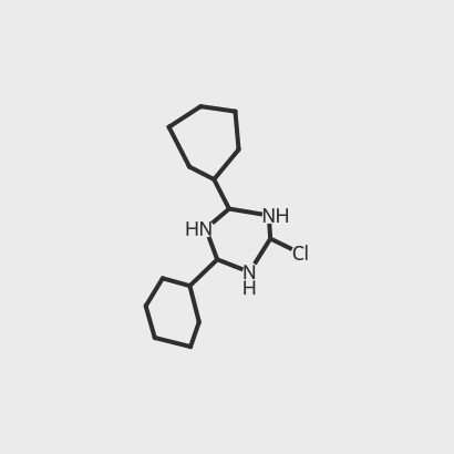 ClC1NC(C2CCCCC2)NC(C2CCCCC2)N1